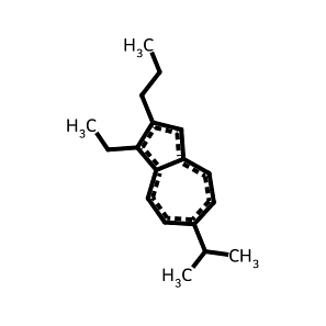 CCCc1cc2ccc(C(C)C)ccc-2c1CC